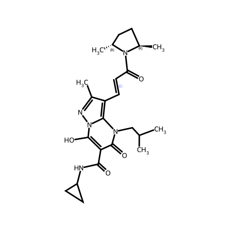 Cc1nn2c(O)c(C(=O)NC3CC3)c(=O)n(CC(C)C)c2c1/C=C/C(=O)N1[C@H](C)CC[C@H]1C